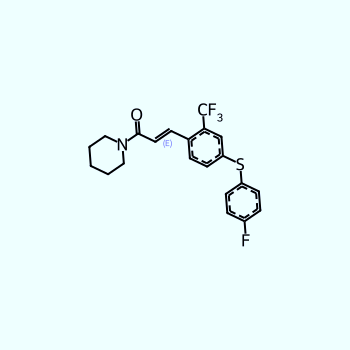 O=C(/C=C/c1ccc(Sc2ccc(F)cc2)cc1C(F)(F)F)N1CCCCC1